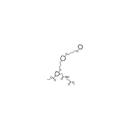 CCOC(=O)c1ccc(OCCCc2ccc(OCCCCOc3ccccc3)cc2)c(CC(=O)NCCC(=O)OC)c1